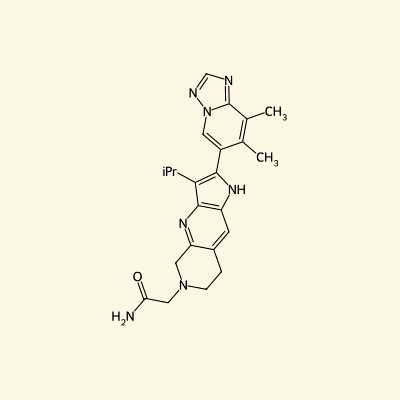 Cc1c(-c2[nH]c3cc4c(nc3c2C(C)C)CN(CC(N)=O)CC4)cn2ncnc2c1C